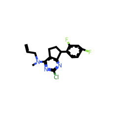 C=CCN(C)c1nc(Cl)nc2c1CCC2c1ccc(F)cc1F